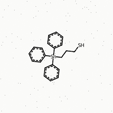 SCC[CH2][Sn]([c]1ccccc1)([c]1ccccc1)[c]1ccccc1